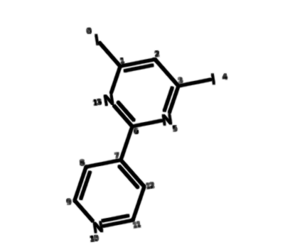 Ic1cc(I)nc(-c2ccncc2)n1